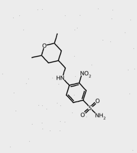 CC1CC(CNc2ccc(S(N)(=O)=O)cc2[N+](=O)[O-])CC(C)O1